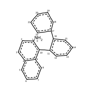 Nc1ccc2ccccc2c1-c1ccccc1-c1ccccc1